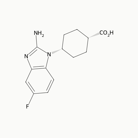 Nc1nc2cc(F)ccc2n1[C@H]1CC[C@@H](C(=O)O)CC1